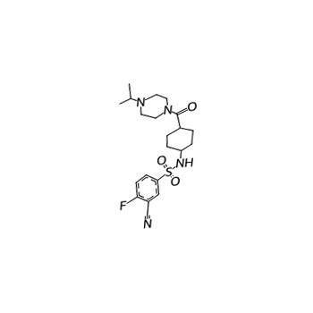 CC(C)N1CCN(C(=O)C2CCC(NS(=O)(=O)c3ccc(F)c(C#N)c3)CC2)CC1